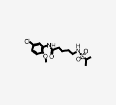 COc1ccc(Cl)cc1NC(=O)CCCCNS(=O)(=O)C(C)C